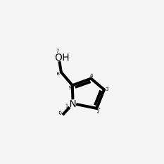 Cn1[c]ccc1CO